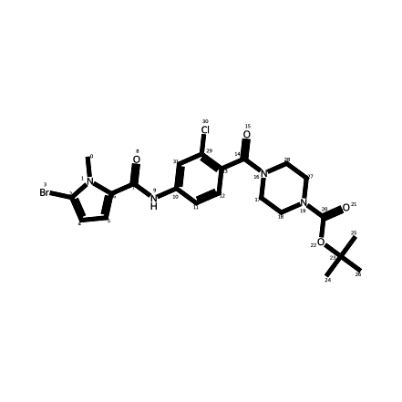 Cn1c(Br)ccc1C(=O)Nc1ccc(C(=O)N2CCN(C(=O)OC(C)(C)C)CC2)c(Cl)c1